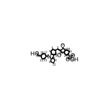 O=C1C(=Cc2ccc3c(c2)C2CCCC2N3c2ccc(CO)cc2)C(=O)c2cc(S(=O)(=O)O)ccc21